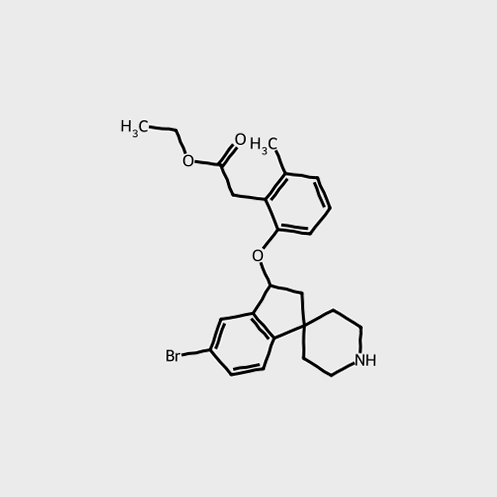 CCOC(=O)Cc1c(C)cccc1OC1CC2(CCNCC2)c2ccc(Br)cc21